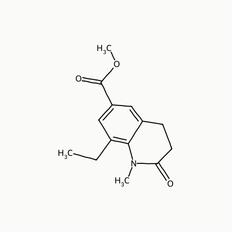 CCc1cc(C(=O)OC)cc2c1N(C)C(=O)CC2